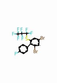 Fc1ccc(-c2c(Br)[c]c(Br)cc2SC(F)(F)C(F)(F)C(F)(F)F)cc1